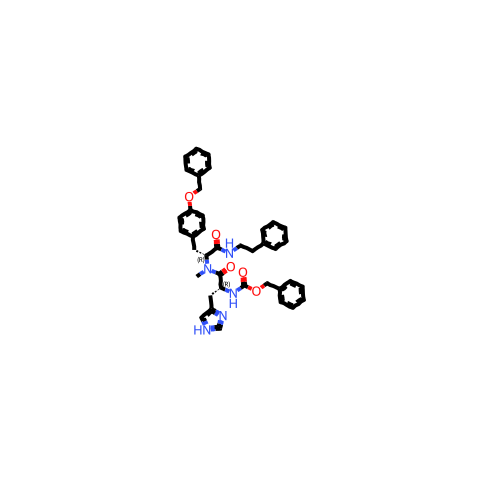 CN(C(=O)[C@@H](Cc1c[nH]cn1)NC(=O)OCc1ccccc1)[C@H](Cc1ccc(OCc2ccccc2)cc1)C(=O)NCCc1ccccc1